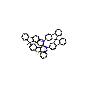 CC1(C)c2ccccc2-c2ccc(N(c3ccc4c(c3)C3(c5ccccc5-c5ccc(N(c6ccccc6)c6ccccc6)cc53)c3ccccc3-4)c3cccc4sc5ccccc5c34)cc21